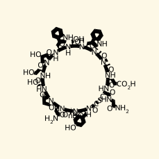 CCCC[C@H]1C(=O)N[C@@H](CC(N)=O)C(=O)N2CCC[C@H]2C(=O)N[C@@H](CO)C(=O)N[C@@H](CCO)C(=O)N2C[C@H](O)CC2C(=O)N[C@@H](Cc2c[nH]c3ccccc23)C(=O)N[C@@H](CO)C(=O)N[C@@H](Cc2c[nH]c3ccccc23)C(=O)N(C)[C@@H](C)C(=O)N(C)[C@@H](C)C(=O)N[C@@H](CCC(=O)O)C(=O)NC(C(=O)NCC(N)=O)CSCC(=O)N[C@@H](Cc2ccc(O)cc2)C(=O)N1C